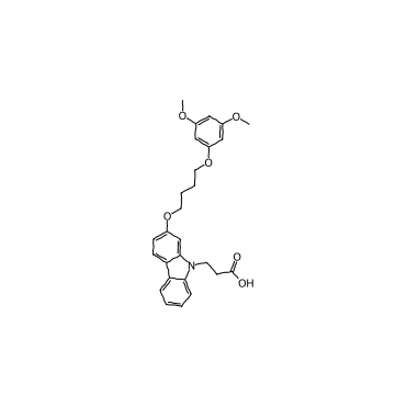 COc1cc(OC)cc(OCCCCOc2ccc3c4ccccc4n(CCC(=O)O)c3c2)c1